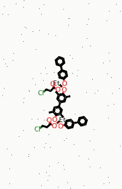 CCC(OC(=O)CCCl)(Oc1ccc(-c2ccccc2)cc1)Oc1c(C)cc(-c2cc(C)c(OC(CC)(OC(=O)CCCl)Oc3ccc(-c4ccccc4)cc3)c(C)c2)cc1C